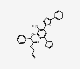 C=CCOC(=O)C(Oc1nc(-c2cccs2)cc(-c2ccc(-c3ccccc3)o2)c1N)c1ccccc1